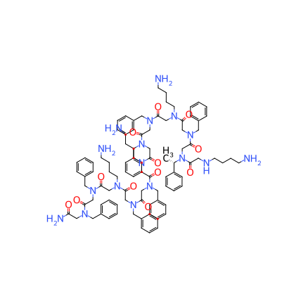 C[C@@H](c1ccccc1)N(CC(=O)N(CC(=O)N(CCCCN)CC(=O)N(CC(=O)N(CC(=O)N(CCCCN)CC(=O)N(CC(=O)N(CC(=O)N(CCCCN)CC(=O)N(CC(=O)N(CC(N)=O)Cc1ccccc1)Cc1ccccc1)Cc1ccccc1)Cc1ccccc1)Cc1ccccc1)Cc1ccccc1)Cc1ccccc1)C(=O)CNCCCCN